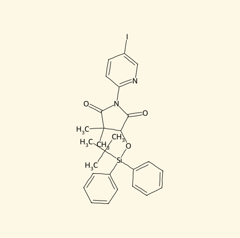 CC1(C)C(=O)N(c2ccc(I)cn2)C(=O)C1O[Si](c1ccccc1)(c1ccccc1)C(C)(C)C